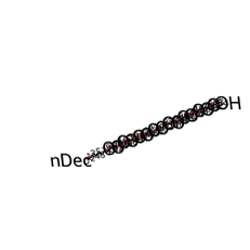 CCCCCCCCCCCCCCCCCCOCCOCCOCCOCCOCCOCCOCCOCCOCCOCCOCCOCCOCCOCCOCCO